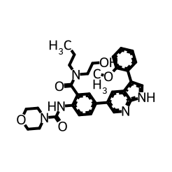 CCCN(CCO)C(=O)c1cc(-c2cnc3[nH]cc(-c4ccccc4OC)c3c2)ccc1NC(=O)N1CCOCC1